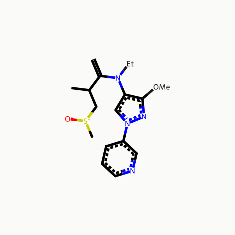 C=C(C(C)C[S+](C)[O-])N(CC)c1cn(-c2cccnc2)nc1OC